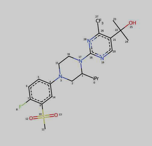 CC(C)C1CN(c2ccc(F)c(S(C)(=O)=O)c2)CCN1c1ncc(C(C)(C)O)c(C(F)(F)F)n1